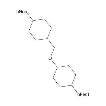 CCCCCCCCCC1CCC(COC2CCC(CCCCC)CC2)CC1